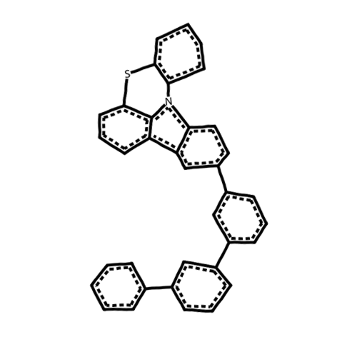 c1ccc(-c2cccc(-c3cccc(-c4ccc5c(c4)c4cccc6c4n5-c4ccccc4S6)c3)c2)cc1